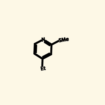 CCc1ccnc(SC)c1